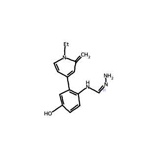 C=C1C=C(c2cc(O)ccc2N/C=N\N)C=CN1CC